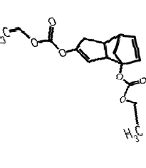 CCOC(=O)OC1=CC2C(C1)C1C=CC2(OC(=O)OCC)C1